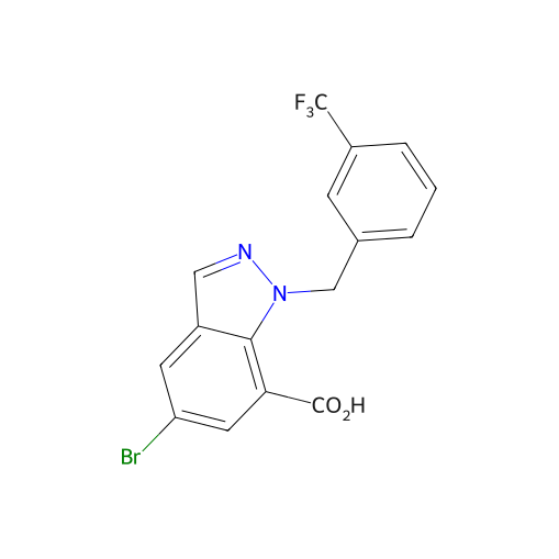 O=C(O)c1cc(Br)cc2cnn(Cc3cccc(C(F)(F)F)c3)c12